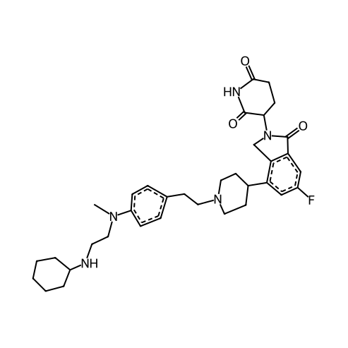 CN(CCNC1CCCCC1)c1ccc(CCN2CCC(c3cc(F)cc4c3CN(C3CCC(=O)NC3=O)C4=O)CC2)cc1